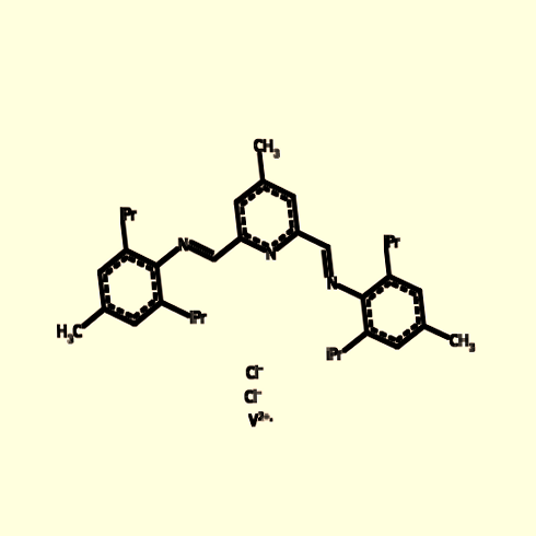 Cc1cc(C=Nc2c(C(C)C)cc(C)cc2C(C)C)nc(C=Nc2c(C(C)C)cc(C)cc2C(C)C)c1.[Cl-].[Cl-].[V+2]